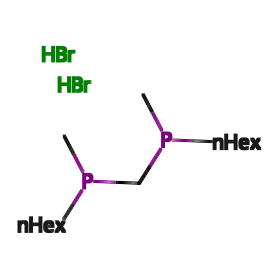 Br.Br.CCCCCCP(C)CP(C)CCCCCC